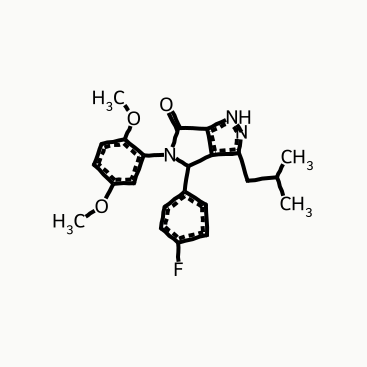 COc1ccc(OC)c(N2C(=O)c3[nH]nc(CC(C)C)c3C2c2ccc(F)cc2)c1